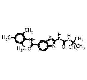 Cc1cc(C)c(NC(=O)c2ccc3nc(NC(=O)NC(C)(C)C)sc3c2)c(C)c1